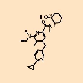 C=CN(C)c1nc(C(=O)N[C@H]2CCCC[C@@H]2O)cc(Cc2ccc(C3CC3)nc2)c1C